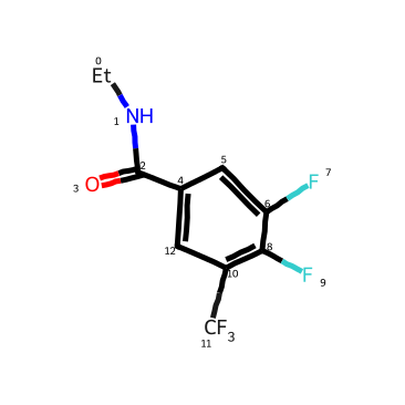 CCNC(=O)c1cc(F)c(F)c(C(F)(F)F)c1